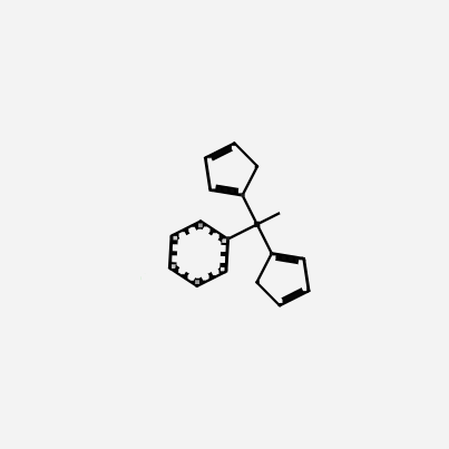 [Cl-].[Ti+][C](C1=CC=CC1)(C1=CC=CC1)c1ccccc1